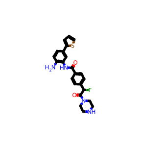 Nc1ccc(-c2cccs2)cc1NC(=O)c1ccc(C(F)C(=O)N2CCNCC2)cc1